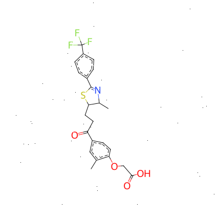 Cc1cc(C(=O)CCC2SC(c3ccc(C(F)(F)F)cc3)=NC2C)ccc1OCC(=O)O